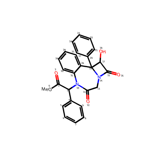 COC(=O)C(c1ccccc1)N1C(=O)CN2C(=O)C(O)C2(c2ccccc2)c2ccccc21